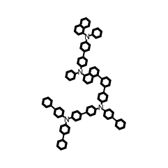 c1ccc(-c2ccc(N(c3ccc(-c4ccccc4)cc3)c3ccc(-c4ccc(N(c5ccc(-c6ccccc6)cc5)c5ccc(-c6cccc(-c7cccc8c(N(c9ccccc9)c9ccc(-c%10ccc(N(c%11ccccc%11)c%11cccc%12ccccc%11%12)cc%10)cc9)cccc78)c6)cc5)cc4)cc3)cc2)cc1